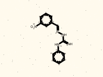 N=C(NN=Cc1cccc([N+](=O)[O-])c1)Nc1ccccc1